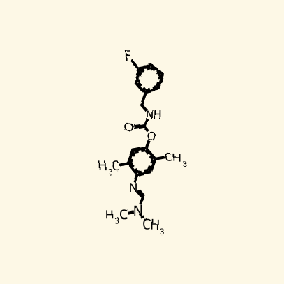 Cc1cc(OC(=O)NCc2cccc(F)c2)c(C)cc1N=CN(C)C